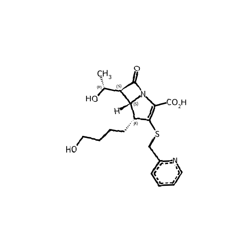 C[C@@H](O)[C@H]1C(=O)N2C(C(=O)O)=C(SCc3ccccn3)[C@H](CCCCO)[C@H]12